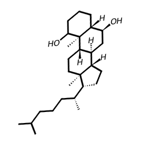 CC(C)CCC[C@@H](C)[C@H]1CC[C@H]2[C@@H]3C[C@H](O)[C@H]4CCCC(O)[C@]4(C)[C@H]3CC[C@]12C